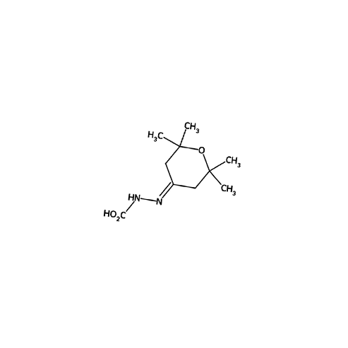 CC1(C)CC(=NNC(=O)O)CC(C)(C)O1